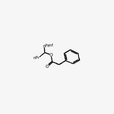 CCCCCC(CCC)OC(=O)Cc1ccccc1